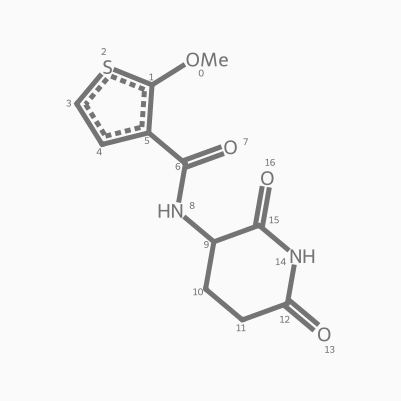 COc1sccc1C(=O)NC1CCC(=O)NC1=O